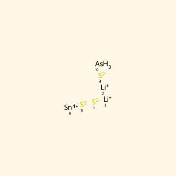 [AsH3].[Li+].[Li+].[S-2].[S-2].[S-2].[Sn+4]